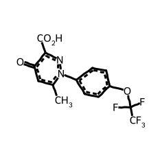 Cc1cc(=O)c(C(=O)O)nn1-c1ccc(OC(F)(F)C(F)(F)F)cc1